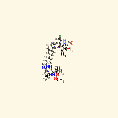 COC(=O)N[C@H](C(=O)N1C[Si]2(CCCC2)C[C@H]1c1ncc(-c2ccc(-c3ccc4c(ccc5nc([C@@H]6C[C@@H](F)CN6C(=O)[C@@H](NC(=O)CO)C(C)C)[nH]c54)c3)cc2)[nH]1)C(C)C